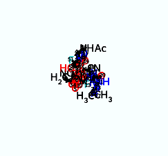 C=CCOP(=O)(OCCC#N)O[C@H]1[C@@H](F)[C@H](n2cnc3c(=O)[nH]c(N=CN(C)C)nc32)O[C@@H]1COC(OCCC#N)[C@H]1O[C@@H](n2ccc(NC(C)=O)nc2=O)[C@H](F)[C@@H]1O